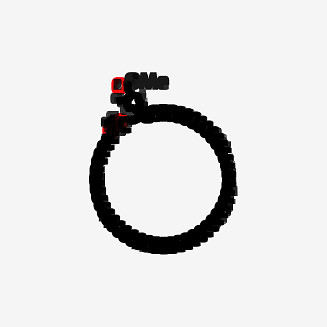 COC(=O)c1ccc(C2=CCC3(CCCCCCCCCCCCCCCCCCCCCCCCCCCCCCCCCCCCCCCCCCCCCCCC2)OCCO3)cc1C